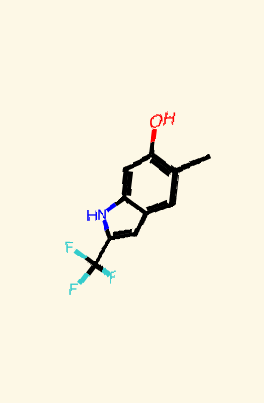 Cc1cc2cc(C(F)(F)F)[nH]c2cc1O